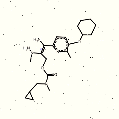 Cc1nc(/C(N)=C(\COC(=O)N(C)CC2CC2)N(C)N)ccc1OC1CCCCC1